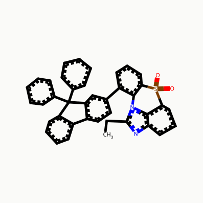 CCc1nc2cccc3c2n1-c1c(-c2ccc4c(c2)C(c2ccccc2)(c2ccccc2)c2ccccc2-4)cccc1S3(=O)=O